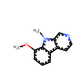 COc1cccc2c3ccncc3n(C)c12